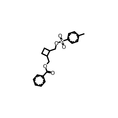 Cc1ccc(S(=O)(=O)OCC2CCC2COC(=O)c2ccccc2)cc1